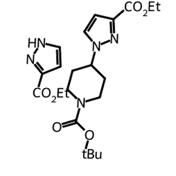 CCOC(=O)c1cc[nH]n1.CCOC(=O)c1ccn(C2CCN(C(=O)OC(C)(C)C)CC2)n1